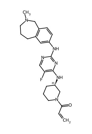 C=CC(=O)N1CCC[C@@H](Nc2nc(Nc3ccc4c(c3)CCCN(C)C4)ncc2F)C1